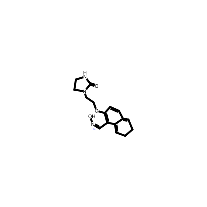 O=C1NCCN1CCOc1ccc2c(c1/C=N\O)=CCCC=2